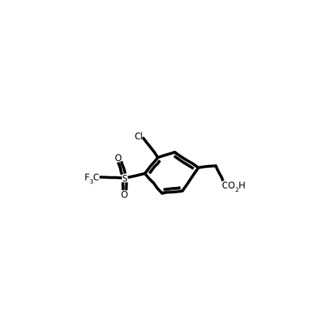 O=C(O)Cc1ccc(S(=O)(=O)C(F)(F)F)c(Cl)c1